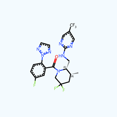 C[C@@H]1CC(F)(F)CN(C(=O)c2cc(F)ccc2-n2nccn2)[C@@H]1CNc1ncc(C(F)(F)F)cn1